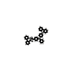 c1ccc(-c2ccccc2-c2noc(-c3ccc(N(c4ccccc4)c4ccc(-n5c6ccccc6c6ccccc65)cc4)cc3)n2)cc1